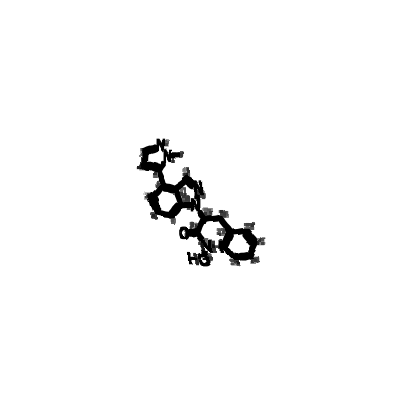 Cn1nccc1-c1cccc2c1cnn2C(Cc1ccccc1)C(=O)NO